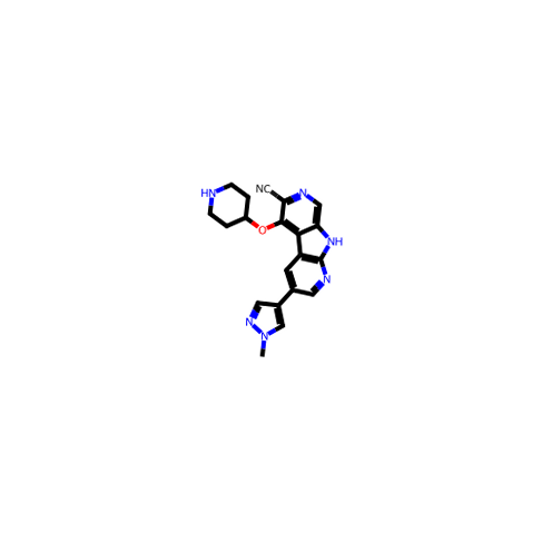 Cn1cc(-c2cnc3[nH]c4cnc(C#N)c(OC5CCNCC5)c4c3c2)cn1